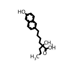 CCCC(C)(CCCCc1ccc2cc(O)ccc2c1)C(=O)O